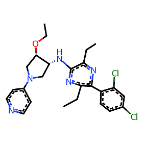 CCO[C@@H]1CN(c2ccncc2)C[C@H]1Nc1nc(CC)c(-c2ccc(Cl)cc2Cl)nc1CC